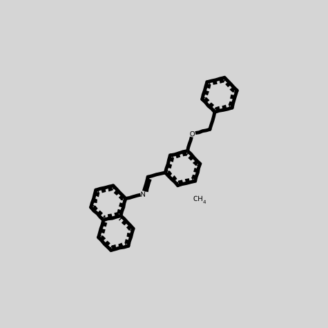 C.C(=Nc1cccc2ccccc12)c1cccc(OCc2ccccc2)c1